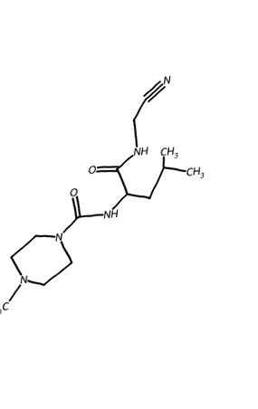 CC(C)CC(NC(=O)N1CCN(C)CC1)C(=O)NCC#N